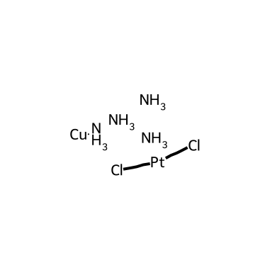 N.N.N.N.[Cl][Pt][Cl].[Cu]